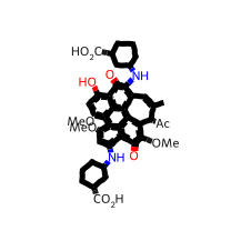 COc1c2c3c4c(c(NC5CCCC(C(=O)O)C5)c(=O)c5c(O)cc(OC)c(c6c(OC)cc(NC7CCCC(C(=O)O)C7)c(c1=O)c63)c54)C=C(C)C2C(C)=O